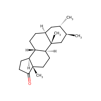 C[C@H]1C[C@@H]2CC[C@@H]3[C@H](CC[C@]4(C)C(=O)CC[C@@H]34)[C@@]2(C)C[C@@H]1C